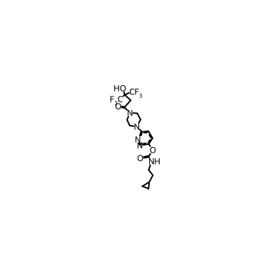 O=C(NCCC1CC1)Oc1ccc(N2CCN(C(=O)CC(O)(C(F)(F)F)C(F)(F)F)CC2)nn1